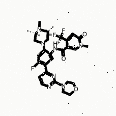 C[C@@H]1CN(c2cc(F)c(-c3ccnc(N4CCOCC4)n3)cc2NC(=O)c2cn(C)c(=O)cc2C(F)(F)F)C[C@H](C)N1C